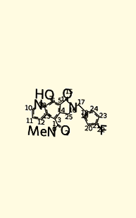 CNC(=O)c1c2c(c(O)c3ncccc13)C(=O)N(Cc1ccc(F)cc1)C2